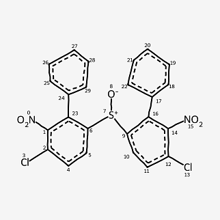 O=[N+]([O-])c1c(Cl)ccc([S+]([O-])c2ccc(Cl)c([N+](=O)[O-])c2-c2ccccc2)c1-c1ccccc1